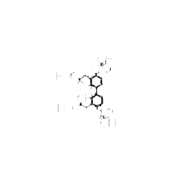 C=C(C)Cc1cc(-c2ccc(OC(C)=O)c(CC(=C)C)c2)ccc1OC(C)=O